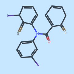 O=C(C1=CC=CCC1=S)N(C1=CC=CC(I)C1=S)c1cccc(I)c1